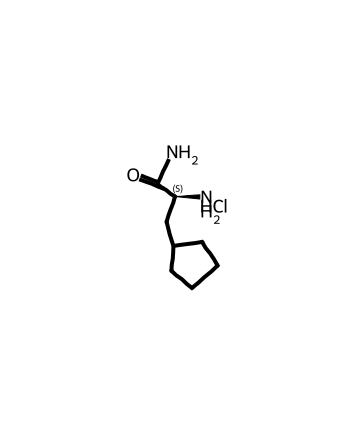 Cl.NC(=O)[C@@H](N)CC1CCCC1